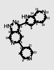 c1cc(-c2cc3c(-c4cc5ccncc5[nH]4)n[nH]c3cn2)ccn1